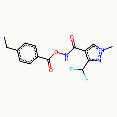 CCc1ccc(C(=O)ONC(=O)c2cn(C)nc2C(F)F)cc1